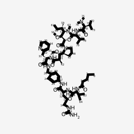 CCCCC(=O)N[C@H](C(=O)N[C@@H](CCCNC(N)=O)C(=O)Nc1ccc(CNC(=O)[C@H](Cc2ccccn2)NC(=O)[C@H](C)[C@@H](OC)[C@@H]2CCCN2C(=O)C[C@@H](OC)[C@H]([C@@H](C)CC)N(C)C(=O)[C@@H](NC(=O)[C@H](C(C)C)N(C)C)C(C)C)cc1)C(C)C